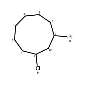 CC(C)C1CCCCCCC(Cl)C1